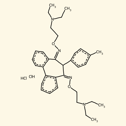 CCN(CC)CCON=C1c2ccccc2-c2ccccc2C(=NOCCN(CC)CC)C1c1ccc(C)cc1.Cl.Cl